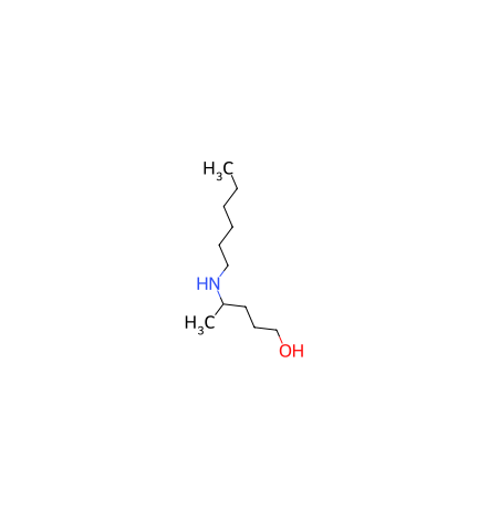 CCCCCCNC(C)CCCO